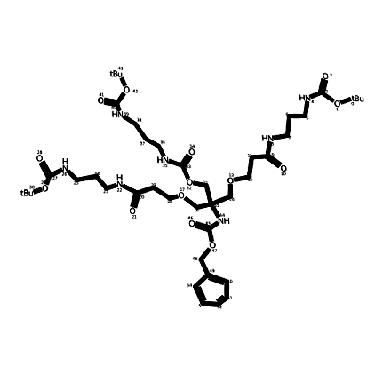 CC(C)(C)OC(=O)NCCCNC(=O)CCOCC(COCCC(=O)NCCCNC(=O)OC(C)(C)C)(COC(=O)NCCCNC(=O)OC(C)(C)C)NC(=O)OCc1ccccc1